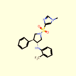 Cn1cnc(S(=O)(=O)N2C[C@H](Nc3ccccc3C(F)(F)F)[C@@H](c3ccccc3)C2)c1